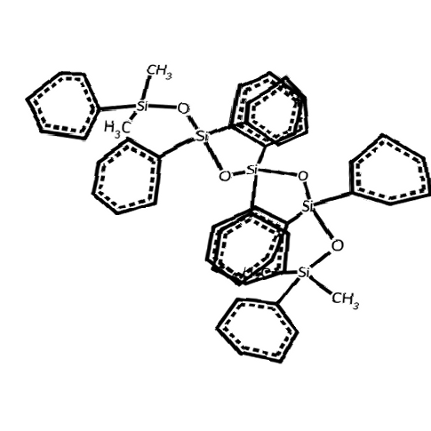 C[Si](C)(O[Si](O[Si](O[Si](O[Si](C)(C)c1ccccc1)(c1ccccc1)c1ccccc1)(c1ccccc1)c1ccccc1)(c1ccccc1)c1ccccc1)c1ccccc1